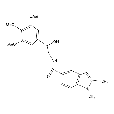 COc1cc(C(O)CNC(=O)c2ccc3c(c2)cc(C)n3C)cc(OC)c1OC